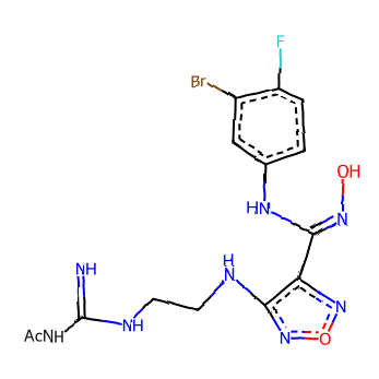 CC(=O)NC(=N)NCCNc1nonc1/C(=N/O)Nc1ccc(F)c(Br)c1